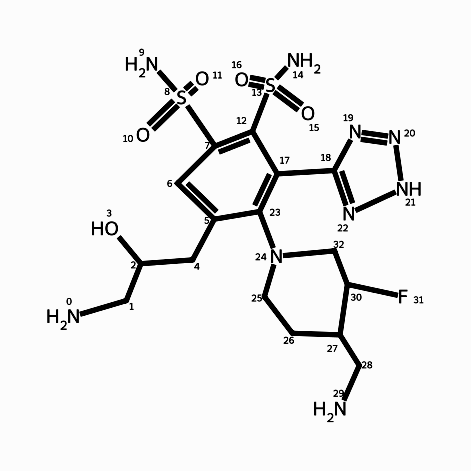 NCC(O)Cc1cc(S(N)(=O)=O)c(S(N)(=O)=O)c(-c2nn[nH]n2)c1N1CCC(CN)C(F)C1